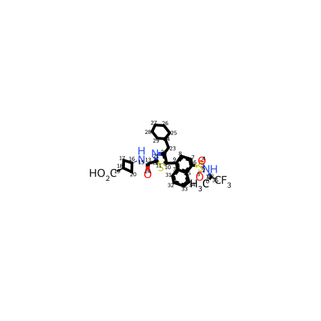 C[C@H](NS(=O)(=O)c1ccc(-c2sc(C(=O)N[C@H]3C[C@H](C(=O)O)C3)nc2CC2CCCCC2)c2ccccc12)C(F)(F)F